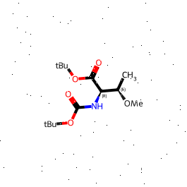 CO[C@H](C)[C@@H](NC(=O)OC(C)(C)C)C(=O)OC(C)(C)C